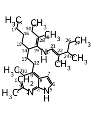 C=C(C)/N=C1/NC=C/C1=C(/CC)CCC(CCCC)/C(N/C=C(\C)C(C)CC)=C(/C)CC